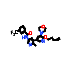 C#CCCCOc1ncc(-c2cc(NC(=O)c3cccc(C(F)(F)F)c3)cnc2C)cc1N1CCOCC1